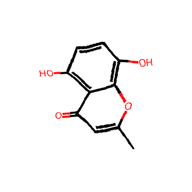 Cc1cc(=O)c2c(O)ccc(O)c2o1